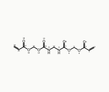 C=CC(=O)OCOC(=O)NCNC(=O)OCOC(=O)C=C